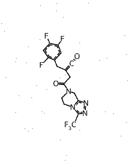 O=C=C(CC(=O)N1CCn2c(nnc2C(F)(F)F)C1)Cc1cc(F)c(F)cc1F